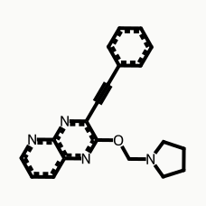 C(#Cc1nc2ncccc2nc1OCN1CCCC1)c1ccccc1